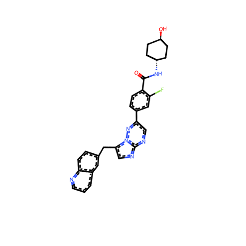 O=C(N[C@H]1CC[C@H](O)CC1)c1ccc(-c2cnc3ncc(Cc4ccc5ncccc5c4)n3n2)cc1F